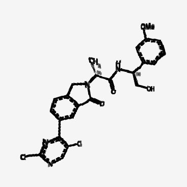 COc1cccc([C@@H](CO)NC(=O)[C@@H](C)N2Cc3ccc(-c4nc(Cl)ncc4Cl)cc3C2=O)c1